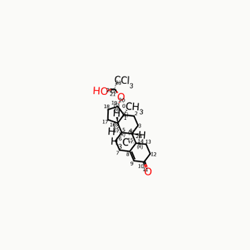 C[C@]12CC[C@H]3[C@@H](CCC4=CC(=O)CC[C@@]43C)[C@@H]1CC[C@@H]2O[C@H](O)C(Cl)(Cl)Cl